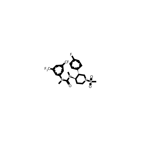 CN(C(=O)N(C)[C@@H]1CCN(S(C)(=O)=O)C[C@H]1c1ccc(F)cc1)c1cc(C(F)(F)F)cc(C(F)(F)F)c1